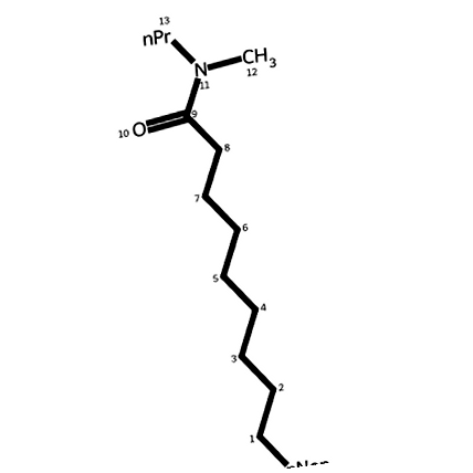 CCCCCCCCCCCCCCCCCC(=O)N(C)CCC